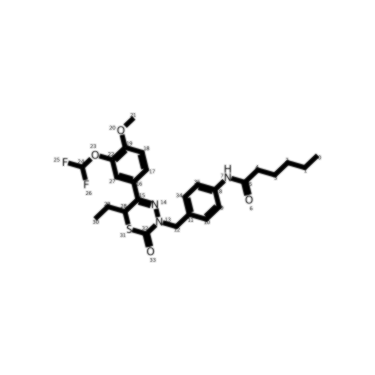 CCCCCC(=O)Nc1ccc(CN2N=C(c3ccc(OC)c(OC(F)F)c3)C(CC)SC2=O)cc1